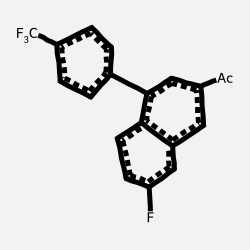 CC(=O)c1cc(-c2ccc(C(F)(F)F)cc2)c2ccc(F)cc2c1